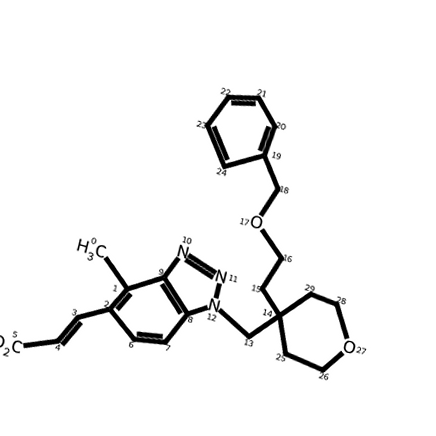 Cc1c(C=CC(=O)O)ccc2c1nnn2CC1(CCOCc2ccccc2)CCOCC1